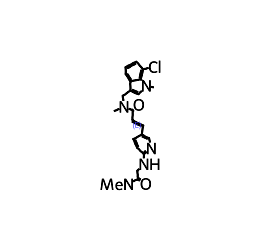 CNC(=O)CNc1ccc(/C=C/C(=O)N(C)Cc2cn(C)c3c(Cl)cccc23)cn1